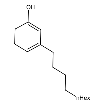 CCCCCCCCCCC1=CCCC(O)=C1